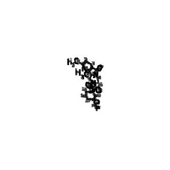 Cc1ccc2c(n1)C1(C)CN(S(=O)(=O)c3cccc(OCF)c3)CCN1C2=O